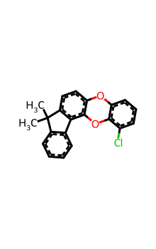 CC1(C)c2ccccc2-c2c1ccc1c2Oc2c(Cl)cccc2O1